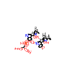 C=C[C@H]1CN2CC[C@H]1C[C@H]2[C@H](O)c1ccnc2ccc(OC)cc12.C=C[C@H]1CN2CC[C@H]1C[C@H]2[C@H](O)c1ccnc2ccc(OC)cc12.O=P(O)(O)OCC(O)CO